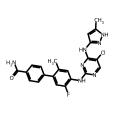 Cc1cc(Nc2nc(Nc3cc(C)c(-c4ccc(C(N)=O)cc4)cc3F)ncc2Cl)n[nH]1